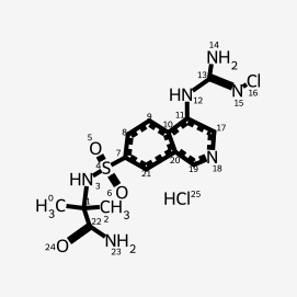 CC(C)(NS(=O)(=O)c1ccc2c(NC(N)=NCl)cncc2c1)C(N)=O.Cl